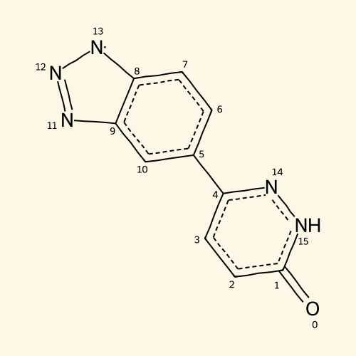 O=c1ccc(-c2ccc3c(c2)N=N[N]3)n[nH]1